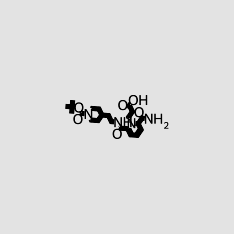 CC(C)(C)OC(=O)N1CCC(CCNC(=O)C2=CC=CC(C(N)=O)N2CCC(=O)O)CC1